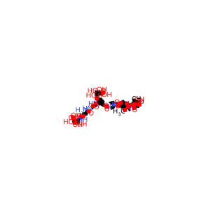 CCc1c2c(nc3ccc(OC(=O)N4CCN(C(=O)OCc5ccc(O[C@@H]6O[C@H](C(=O)O)[C@@H](O)[C@H](O)[C@H]6O)c(NC(=O)CCNC(=O)[C@@H](N)CCCC(=O)N[C@H]6O[C@H](C(=O)O)[C@@H](O)[C@H](O)[C@H]6O)c5)CC4)cc13)-c1cc3c(c(=O)n1C2)COC(=O)[C@]3(O)CC